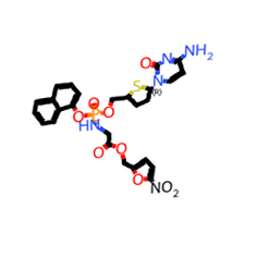 Nc1ccn([C@H]2CCC(COP(=O)(NCC(=O)OCc3ccc([N+](=O)[O-])o3)Oc3cccc4ccccc34)S2)c(=O)n1